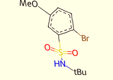 COc1ccc(Br)c(S(=O)(=O)NC(C)(C)C)c1